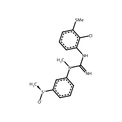 CSc1cccc(NC(=N)N(C)c2cccc([S@+](C)[O-])c2)c1Cl